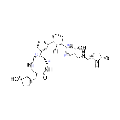 O=C1CC[C@@H](CNCC/C=C\C(=N/CO)c2cccc(-c3cccc(C4=C/C=N/CC(CN5CC[C@H](O)C5)C(=O)N/C=C\4)c3)c2Cl)N1